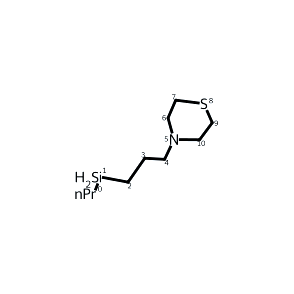 CCC[SiH2]CCCN1CCSCC1